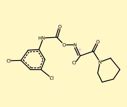 O=C(Nc1cc(Cl)cc(Cl)c1)O/N=C(\Cl)C(=O)N1CCCCC1